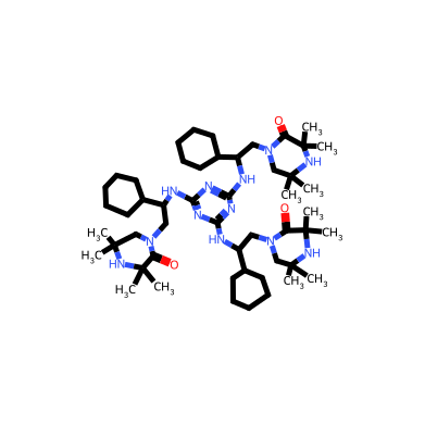 CC1(C)CN(CC(Nc2nc(NC(CN3CC(C)(C)NC(C)(C)C3=O)C3CCCCC3)nc(NC(CN3CC(C)(C)NC(C)(C)C3=O)C3CCCCC3)n2)C2CCCCC2)C(=O)C(C)(C)N1